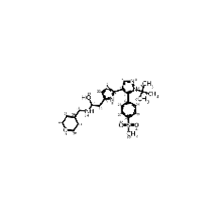 CC(C)(C)n1ncc(-c2nc(CC(O)NCC3CCOCC3)cs2)c1-c1ccc(S(C)(=O)=O)cc1